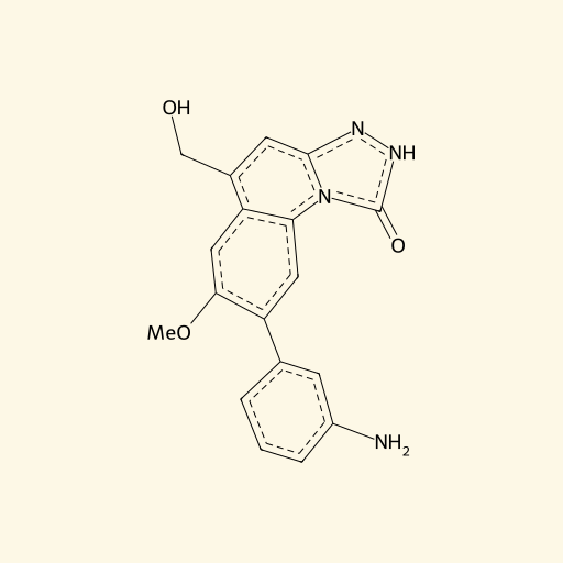 COc1cc2c(CO)cc3n[nH]c(=O)n3c2cc1-c1cccc(N)c1